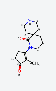 CC1=C(N2CCCC3(CCNCC3)C2=O)CCC1=O